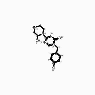 CC1CNCCN1c1ncn(Cc2ccc(Cl)cc2)c(=O)n1